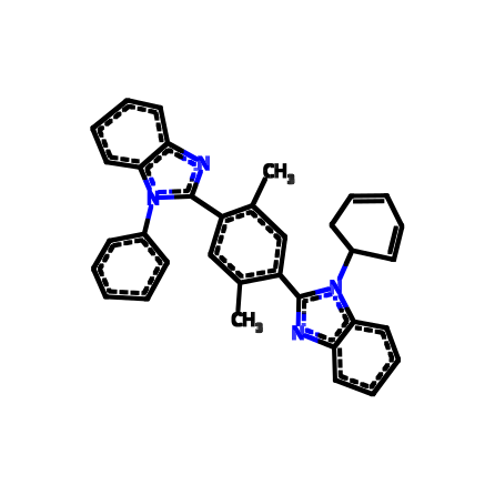 Cc1cc(-c2nc3ccccc3n2C2C=CC=CC2)c(C)cc1-c1nc2ccccc2n1-c1ccccc1